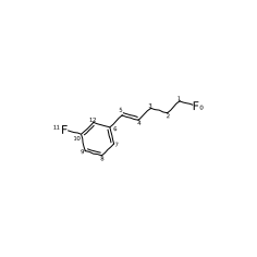 FCCCC=Cc1cccc(F)c1